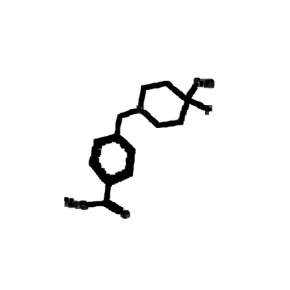 COC(=O)c1ccc(CN2CCC(F)(C=O)CC2)cc1